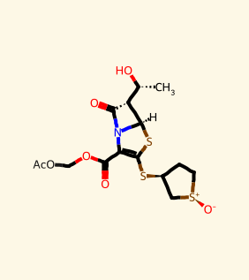 CC(=O)OCOC(=O)C1=C(S[C@H]2CC[S@@+]([O-])C2)S[C@@H]2[C@@H]([C@@H](C)O)C(=O)N12